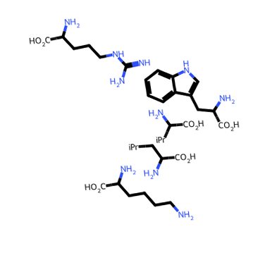 CC(C)C(N)C(=O)O.CC(C)CC(N)C(=O)O.N=C(N)NCCCC(N)C(=O)O.NC(Cc1c[nH]c2ccccc12)C(=O)O.NCCCCC(N)C(=O)O